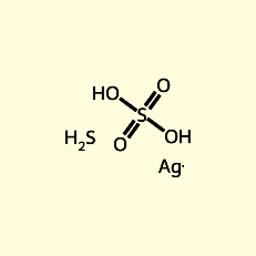 O=S(=O)(O)O.S.[Ag]